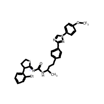 CCc1ccccc1C1CCS/C1=N\C(=O)NC(C)CCc1ccc(-c2ncn(-c3ccc(OC(F)(F)F)cc3)n2)cc1